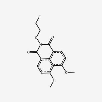 COc1ccc2c3c(ccc(OC)c13)C(=O)N(OCCCl)C2=O